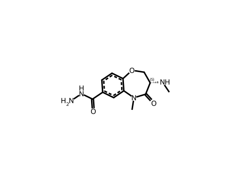 CN[C@H]1COc2ccc(C(=O)NN)cc2N(C)C1=O